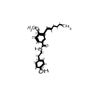 CCCCCCc1cc(C(=O)NCCc2ccc(O)cc2)ccc1OC